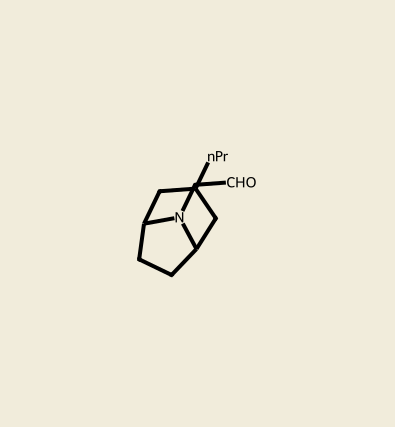 CCCC1CC2CCC(C1)N2CC=O